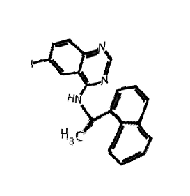 CC(Nc1ncnc2ccc(I)cc12)c1cccc2ccccc12